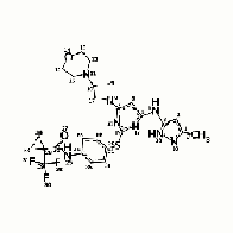 Cc1cc(Nc2cc(N3CC(N4CCOCC4)C3)nc(Sc3ccc(NC(=O)C4(C(F)(F)F)CC4)cc3)n2)[nH]n1